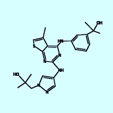 Cc1csc2nc(Nc3cnn(CC(C)(C)O)c3)nc(Nc3cccc(C(C)(C)O)c3)c12